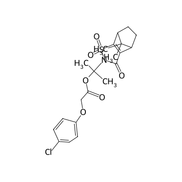 CC1(C)C2CCC1C1=C2C(=O)N(C(C)(C)OC(=O)COc2ccc(Cl)cc2)S1(=O)=O